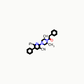 CC(C)c1nc(N2C[C@@H](C)N(C(=O)Cc3ccccc3)[C@@H](C)C2)c(C#N)cc1-c1ccccc1